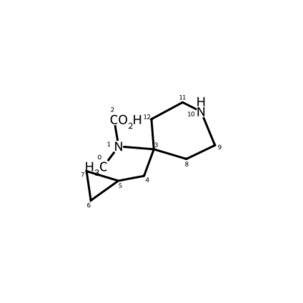 CN(C(=O)O)C1(CC2CC2)CCNCC1